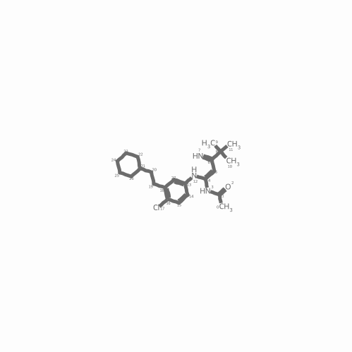 CC(=O)N/C(=C/C(=N)C(C)(C)C)Nc1ccc(Cl)c(CCC2CCCCC2)c1